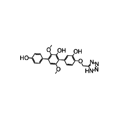 COc1cc(-c2ccc(O)cc2)c(OC)c(O)c1-c1ccc(OCc2nnn[nH]2)c(O)c1